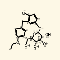 CCOc1ccc(Cc2cc(O[C@@H]3O[C@H](CO)[C@@H](O)[C@H](O)[C@H]3O)ccc2Cl)cc1